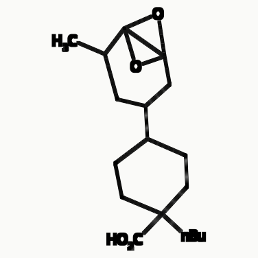 CCCCC1(C(=O)O)CCC(C2CC(C)C34OC3(C2)O4)CC1